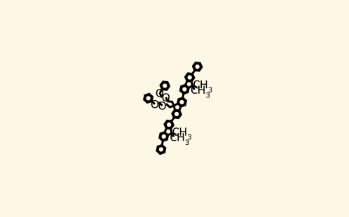 CC1(C)c2cc(-c3ccccc3)ccc2-c2ccc(-c3ccc4c(c3)C(CCOCOc3ccccc3)(CCOCOc3ccccc3)c3cc(-c5ccc6c(c5)C(C)(C)c5cc(-c7ccccc7)ccc5-6)ccc3-4)cc21